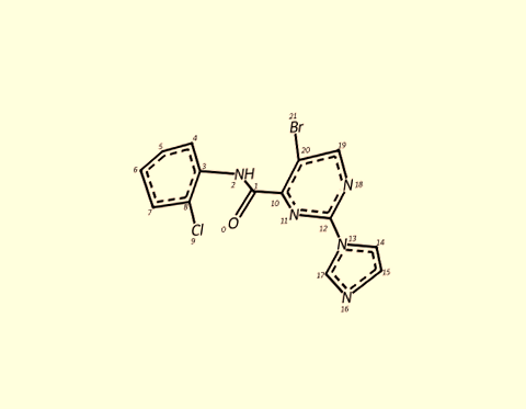 O=C(Nc1ccccc1Cl)c1nc(-n2ccnc2)ncc1Br